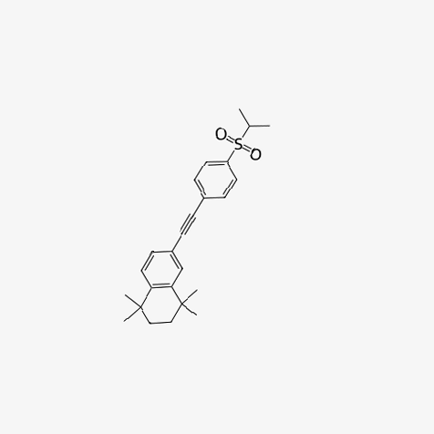 CC(C)S(=O)(=O)c1ccc(C#Cc2ccc3c(c2)C(C)(C)CCC3(C)C)cc1